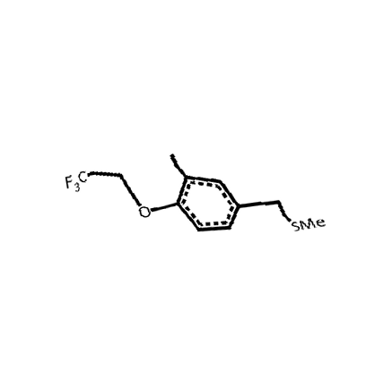 CSCc1ccc(OCC(F)(F)F)c(C)c1